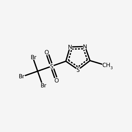 Cc1nnc(S(=O)(=O)C(Br)(Br)Br)s1